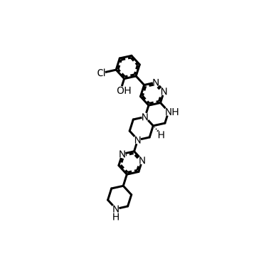 Oc1c(Cl)cccc1-c1cc2c(nn1)NC[C@H]1CN(c3ncc(C4CCNCC4)cn3)CCN21